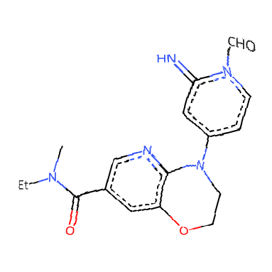 CCN(C)C(=O)c1cnc2c(c1)OCCN2c1ccn(C=O)c(=N)c1